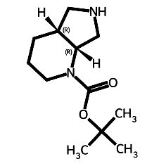 CC(C)(C)OC(=O)N1CCC[C@@H]2CNC[C@@H]21